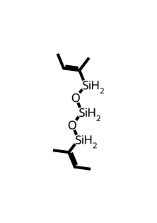 CC=C(C)[SiH2]O[SiH2]O[SiH2]C(C)=CC